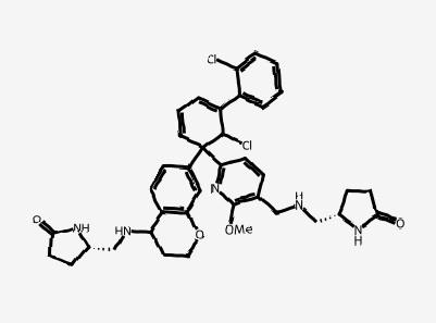 COc1nc(C2(c3ccc4c(c3)OCCC4NC[C@@H]3CCC(=O)N3)C=CC=C(c3ccccc3Cl)C2Cl)ccc1CNC[C@@H]1CCC(=O)N1